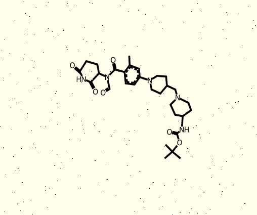 Cc1cc(N2CCC(CN3CCC(NC(=O)OC(C)(C)C)CC3)CC2)ccc1C(=O)N(C=O)C1CCC(=O)NC1=O